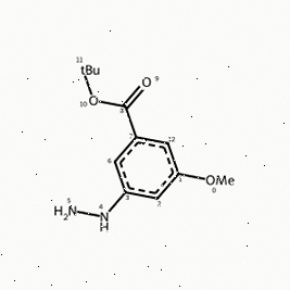 COc1cc(NN)cc(C(=O)OC(C)(C)C)c1